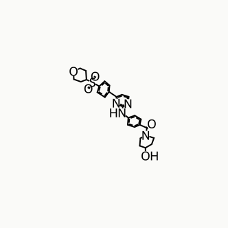 O=C(c1ccc(Nc2nccc(-c3ccc(S(=O)(=O)C4CCOCC4)cc3)n2)cc1)N1CCC(O)CC1